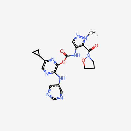 Cn1ncc(NC(=O)Oc2nc(C3CC3)cnc2Nc2cncnc2)c1C(=O)N1CCCO1